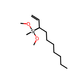 C=CC(CCCCCCC)[Si](C)(OC)OC